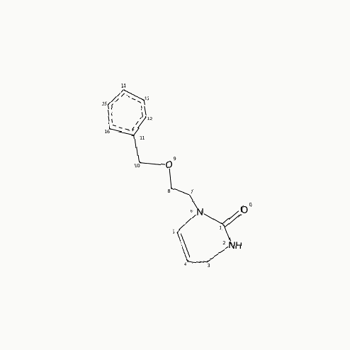 O=C1NCC=CN1CCOCc1ccccc1